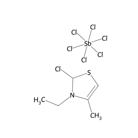 CCN1C(C)=CSC1Cl.[Cl][Sb-]([Cl])([Cl])([Cl])([Cl])[Cl]